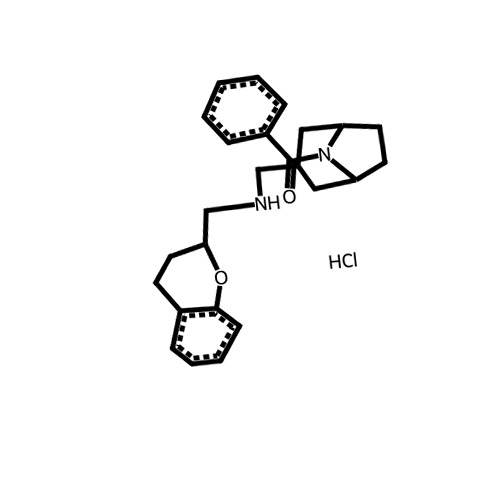 Cl.O=C(c1ccccc1)N1C2CCC1CC(CNCC1CCc3ccccc3O1)C2